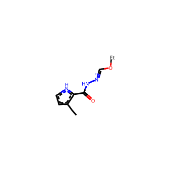 CCO/C=N/NC(=O)c1[nH]ccc1C